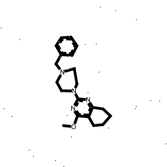 COc1nc(N2CCN(Cc3ccccc3)CC2)nc2c1CCCC2